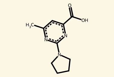 Cc1cc(C(=O)O)nc(N2CCCC2)n1